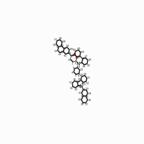 C1=CC(N(c2cccc(-c3cccc4c3c3ccccc3n4-c3ccc4ccccc4c3)c2)c2ccccc2-c2ccccc2)CC=C1c1ccc2c(ccc3ccccc32)c1